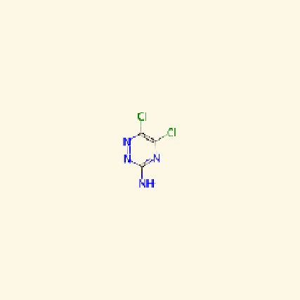 [NH]c1nnc(Cl)c(Cl)n1